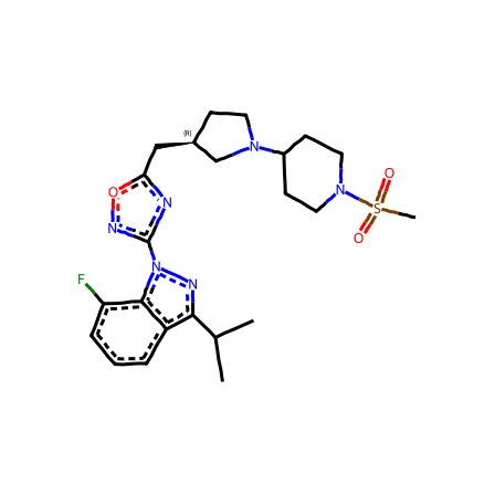 CC(C)c1nn(-c2noc(C[C@H]3CCN(C4CCN(S(C)(=O)=O)CC4)C3)n2)c2c(F)cccc12